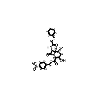 O=C(COc1ccccc1)N[C@@H]1C(=O)N2C(C(=O)OCc3ccc([N+](=O)[O-])cc3)=C(O)C[S@@+]([O-])[C@H]12